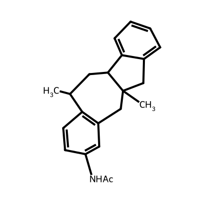 CC(=O)Nc1ccc2c(c1)CC1(C)Cc3ccccc3C1CC2C